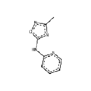 Cc1noc(Nc2ccccn2)n1